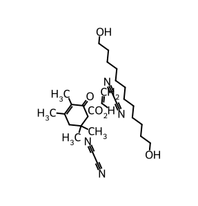 C=CC(=O)O.CC1=C(C)C(=O)CC(C)(C)C1.N#CC#N.N#CC#N.OCCCCCCCCCCCCO